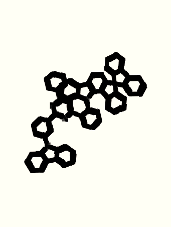 c1ccc(-c2nc(-c3cccc(-n4c5ccccc5c5ccccc54)c3)nc(-c3ccccc3-n3c4ccccc4c4ccc5c(c43)-c3ccccc3C53c4ccccc4-c4ccccc43)n2)cc1